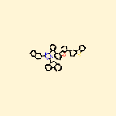 C1=Cc2c(oc3cccc(-c4ccccc4-c4nc(-c5ccc6ccccc6c5)nc(-c5cc6ccccc6c6ccccc56)n4)c23)C(c2ccc3sc4ccccc4c3c2)C1